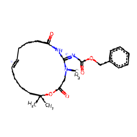 CN1CC(=O)OC(C)(C)CCC/C=C/CCCC(=O)N/C1=N/C(=O)OCc1ccccc1